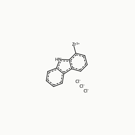 [Cl-].[Cl-].[Cl-].[Zr+3][c]1cccc2c1[nH]c1ccccc12